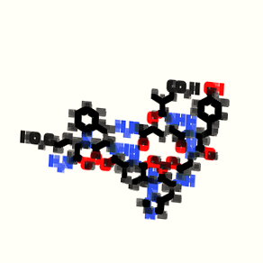 CC(CC(=O)O)C(=O)N[C@@H](CCC(N)=O)C(=O)N[C@@H](Cc1ccc(O)cc1)C(=O)NCC(=O)N[C@@H](Cc1cnc[nH]1)C(=O)N[C@@H](C)C(=O)N[C@@H](C)C(=O)N[C@@H](Cc1ccccc1)C(=O)N[C@@H](CCC(=O)O)C(N)=O